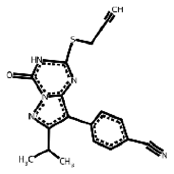 C#CCSc1nc2c(-c3ccc(C#N)cc3)c(C(C)C)nn2c(=O)[nH]1